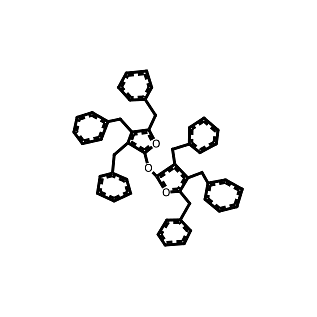 c1ccc(Cc2oc(Oc3oc(Cc4ccccc4)c(Cc4ccccc4)c3Cc3ccccc3)c(Cc3ccccc3)c2Cc2ccccc2)cc1